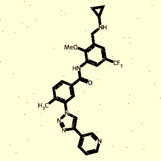 COc1c(CNC2CC2)cc(C(F)(F)F)cc1NC(=O)c1ccc(C)c(-n2cc(-c3cccnc3)nn2)c1